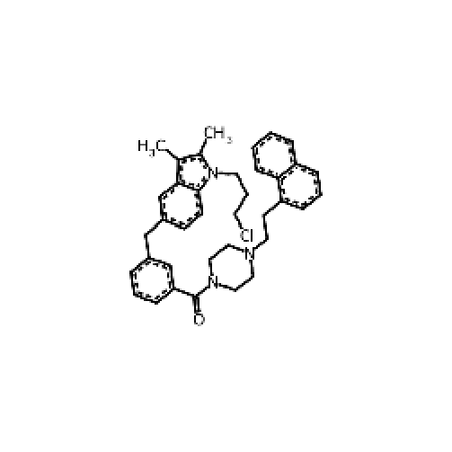 Cc1c(C)n(CCCCl)c2ccc(Cc3cccc(C(=O)N4CCN(CCc5cccc6ccccc56)CC4)c3)cc12